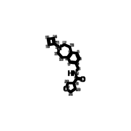 O=C(NCc1ccc2c(c1)CCN(C1=CC=C1)CC2)C1CCOC1